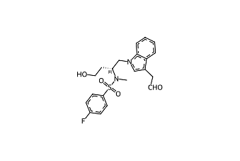 CN([C@H](CCO)Cn1cc(CC=O)c2ccccc21)S(=O)(=O)c1ccc(F)cc1